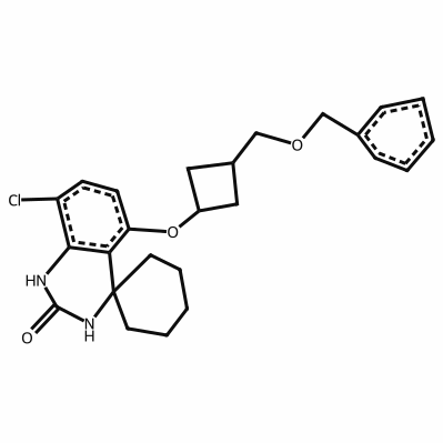 O=C1Nc2c(Cl)ccc(OC3CC(COCc4ccccc4)C3)c2C2(CCCCC2)N1